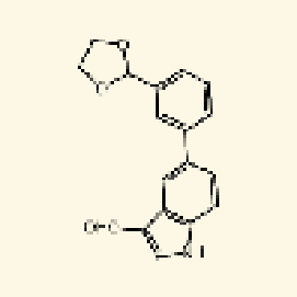 O=Cc1c[nH]c2ccc(-c3cccc(C4OCCO4)c3)cc12